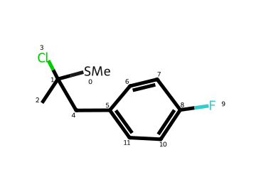 CSC(C)(Cl)Cc1ccc(F)cc1